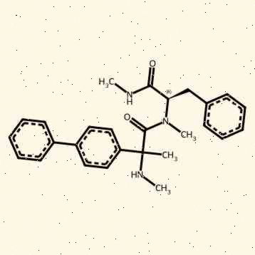 CNC(=O)[C@@H](Cc1ccccc1)N(C)C(=O)C(C)(NC)c1ccc(-c2ccccc2)cc1